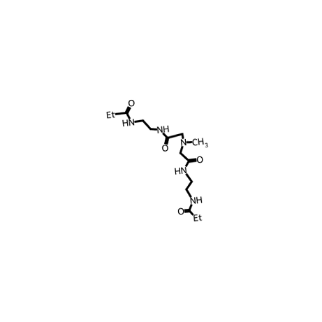 CCC(=O)NCCNC(=O)CN(C)CC(=O)NCCNC(=O)CC